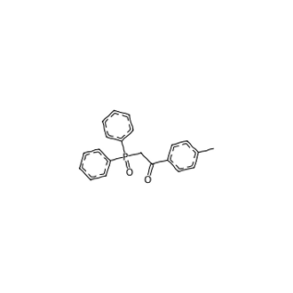 Cc1ccc(C(=O)CP(=O)(c2ccccc2)c2ccccc2)cc1